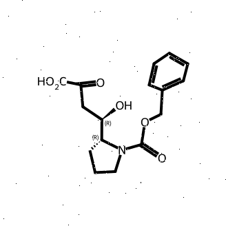 O=C(O)C(=O)C[C@@H](O)[C@H]1CCCN1C(=O)OCc1ccccc1